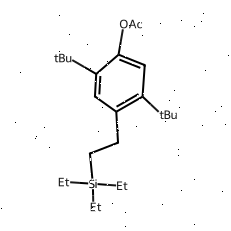 CC[Si](CC)(CC)CCc1cc(C(C)(C)C)c(OC(C)=O)cc1C(C)(C)C